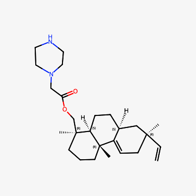 C=C[C@@]1(C)CC=C2[C@@H](CC[C@@H]3[C@](C)(COC(=O)CN4CCNCC4)CCC[C@@]23C)C1